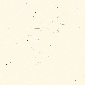 CC(C)C[C@@H](CO)NC(=O)[C@@H](NS(=O)(=O)c1ccc2ccccc2c1)C(C)C